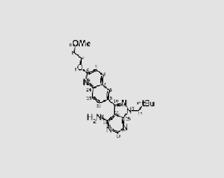 COCCOc1ccc2cc(-c3nn(CC(C)(C)C)c4ncnc(N)c34)ccc2n1